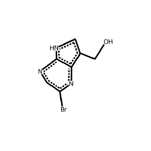 OCc1c[nH]c2ncc(Br)nc12